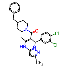 CC1=C(C(=O)N2CCC(Cc3ccccc3)CC2)C(c2ccc(Cl)c(Cl)c2)n2nc(C(F)(F)F)cc2N1